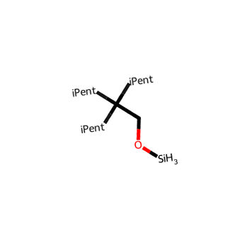 CCCC(C)C(CO[SiH3])(C(C)CCC)C(C)CCC